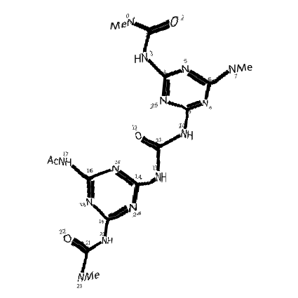 CNC(=O)Nc1nc(NC)nc(NC(=O)Nc2nc(NC(C)=O)nc(NC(=O)NC)n2)n1